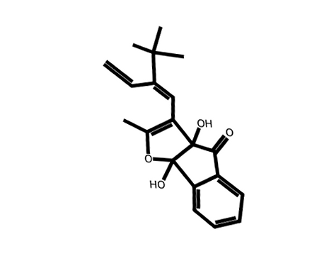 C=C/C(=C\C1=C(C)OC2(O)c3ccccc3C(=O)C12O)C(C)(C)C